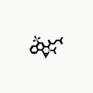 C=C(C)CCC(=C)C1C2=CC([Si](C)(C)C)=C3C=CC=CC3C2C2CC2N1C(C)C